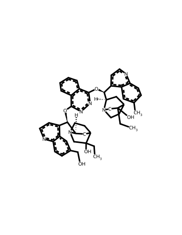 CCC1(O)CN2CCC1C[C@@H]2[C@H](Oc1nnc(O[C@@H](c2ccnc3ccc(C)cc23)[C@H]2CC3CCN2CC3(O)CC)c2ccccc12)c1ccnc2ccc(CO)cc12